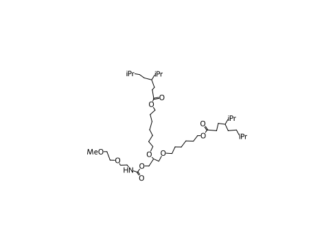 COCCOCCNC(=O)OCC(COCCCCCCOC(=O)CCC(CCC(C)C)C(C)C)OCCCCCCCOC(=O)CCC(CCC(C)C)C(C)C